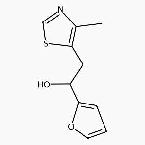 Cc1ncsc1CC(O)c1ccco1